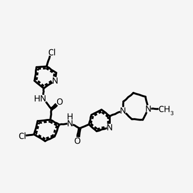 CN1CCCN(c2ccc(C(=O)Nc3ccc(Cl)cc3C(=O)Nc3ccc(Cl)cn3)cn2)CC1